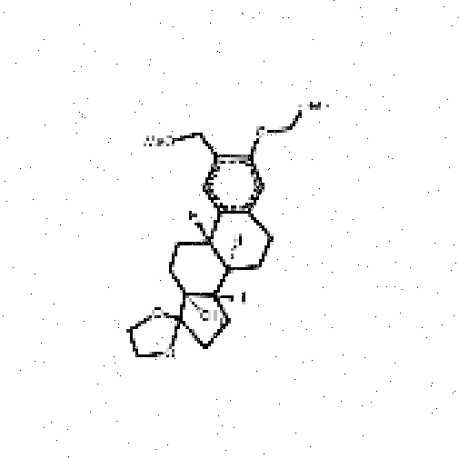 COCOc1cc2c(cc1COC)[C@H]1CC[C@@]3(C)[C@@H](CCC34OCCO4)[C@@H]1CC2